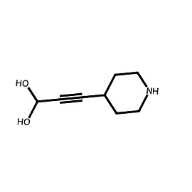 OC(O)C#CC1CCNCC1